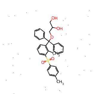 Cc1ccc(S(=O)(=O)c2cccc(C(OCC(O)CO)(c3ccccc3)c3ccccc3)c2C)cc1